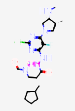 CN[C@H]1CN(c2nc(Cl)nc(NNC(=O)[C@H](CC3CCCC3)CN(O)C=O)c2F)C[C@@H]1C